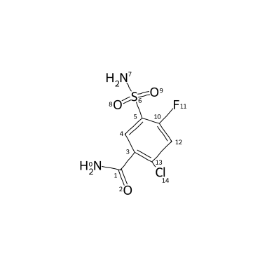 NC(=O)c1cc(S(N)(=O)=O)c(F)cc1Cl